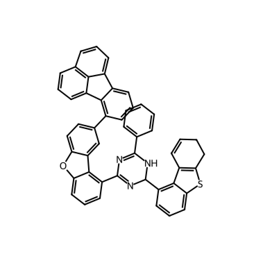 C1=Cc2c(sc3cccc(C4N=C(c5cccc6oc7ccc(-c8cccc9c8-c8cccc%10cccc-9c8%10)cc7c56)N=C(c5ccccc5)N4)c23)CC1